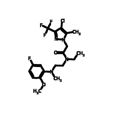 CCN(CCN(C)c1cc(F)ccc1OC)C(=O)Cn1nc(C(F)(F)F)c(Cl)c1C